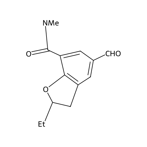 CCC1Cc2cc(C=O)cc(C(=O)NC)c2O1